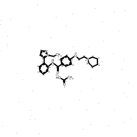 CC(=O)O.CCn1nccc1-c1ccccc1NC(=O)c1ccc(OCCN2CCCCC2)cc1